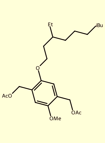 CCC(C)CCCC(CC)CCOc1cc(COC(C)=O)c(OC)cc1COC(C)=O